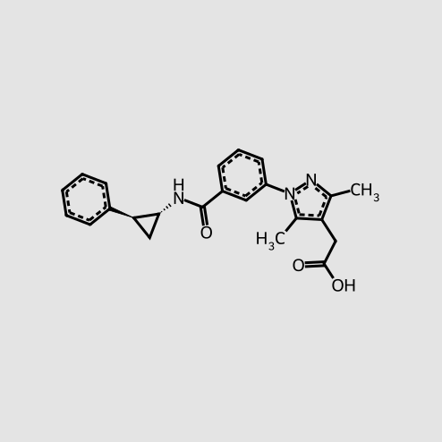 Cc1nn(-c2cccc(C(=O)N[C@@H]3C[C@H]3c3ccccc3)c2)c(C)c1CC(=O)O